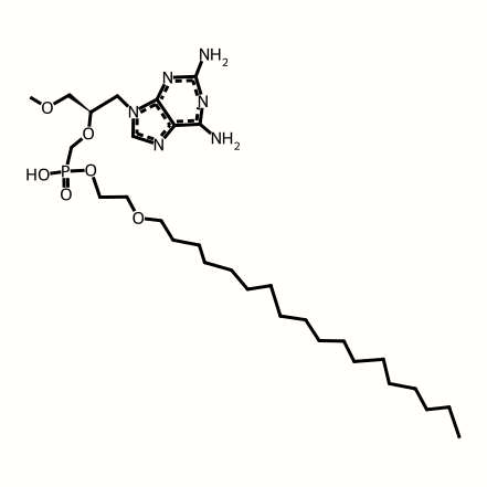 CCCCCCCCCCCCCCCCCCOCCOP(=O)(O)CO[C@@H](COC)Cn1cnc2c(N)nc(N)nc21